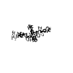 N[C@@H]1CN(C(=O)CC[C@H](N)C(=O)NC(CO)C(=O)N(CCNC(=O)c2ccc(C(F)(F)F)cc2)c2cccc(C(F)(F)F)c2)C[C@@H]1N